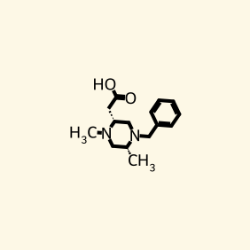 C[C@@H]1CN(C)[C@H](CC(=O)O)CN1Cc1ccccc1